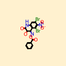 O=C1Nc2cc(Br)c([N+](=O)[O-])c(Br)c2C(=NOC(=O)c2ccccc2)C1=O